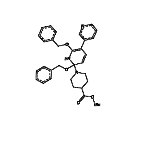 CC(C)(C)OC(=O)C1CCN(C2(OCc3ccccc3)C=CC(c3cccnc3)=C(OCc3ccccc3)N2)CC1